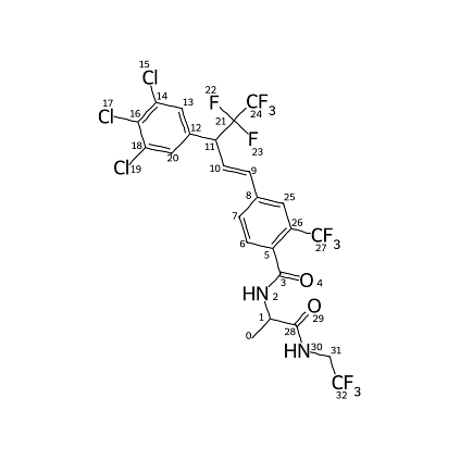 CC(NC(=O)c1ccc(/C=C/C(c2cc(Cl)c(Cl)c(Cl)c2)C(F)(F)C(F)(F)F)cc1C(F)(F)F)C(=O)NCC(F)(F)F